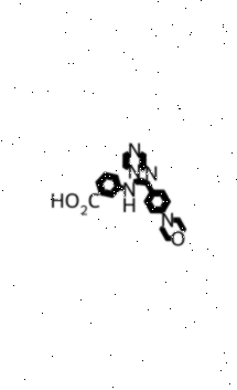 O=C(O)c1cccc(Nc2c(-c3ccc(N4CCOCC4)cc3)nc3cnccn23)c1